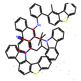 Cc1c(-c2ccccc2N/C=C(/C(C#N)=C(\CC(C)C(C)C2Cc3ccccc3-c3ccccc32)n2c3ccccc3c3ccc4sc5ccccc5c4c32)C(C)(C)n2c3ccccc3c3ccccc32)ccc2sc3ccccc3c12